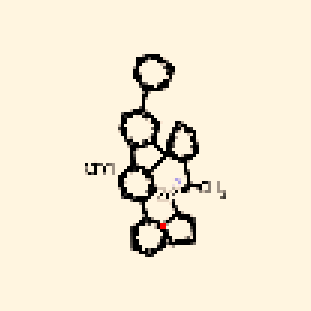 C/[C](c1ccccc1)=[Zr+2](\[C]1=CC=CC1)[c]1c(-c2ccccc2)ccc2c1Cc1cc(-c3ccccc3)ccc1-2.[Cl-].[Cl-]